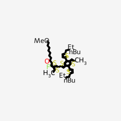 CCCCC(CC)Cc1ccc(-c2c3cc(-c4sc(C)c5c(F)c(C(=O)CCCCCCCOC)sc45)sc3c(-c3ccc(CC(CC)CCCC)s3)c3cc(C)sc23)s1